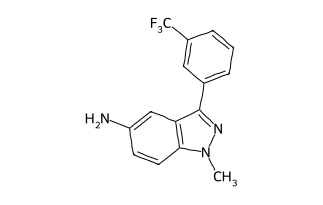 Cn1nc(-c2cccc(C(F)(F)F)c2)c2cc(N)ccc21